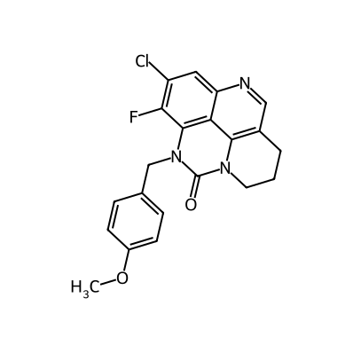 COc1ccc(CN2C(=O)N3CCCc4cnc5cc(Cl)c(F)c2c5c43)cc1